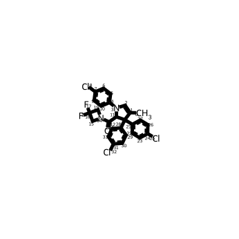 CC1=CN(c2ccc(Cl)cc2)C(C(=O)N2CC(F)(F)C2)C1(c1ccc(Cl)cc1)c1ccc(Cl)cc1